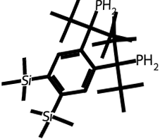 CC(C)(C)C(P)(c1cc([Si](C)(C)C)c([Si](C)(C)C)cc1C(P)(C(C)(C)C)C(C)(C)C)C(C)(C)C